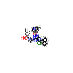 C=CC(O)N1CC[C@H](Nc2nc(OC[C@@]34CCCN3C[C@H](F)C4)nc3c2CCN(c2cccc4cccc(Cl)c24)C3)C1